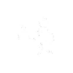 C=C(Nc1cccc(C)c1)c1c(/N=C(\C)Cl)cccc1-c1ccccc1